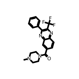 CN1CCN(C(=O)c2ccc3nc(C(F)(F)F)c(-c4ccccc4)nc3c2)CC1